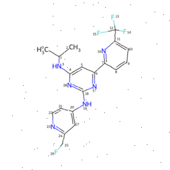 CC(C)Nc1cc(-c2cccc(C(F)(F)F)n2)nc(Nc2ccnc(CF)c2)n1